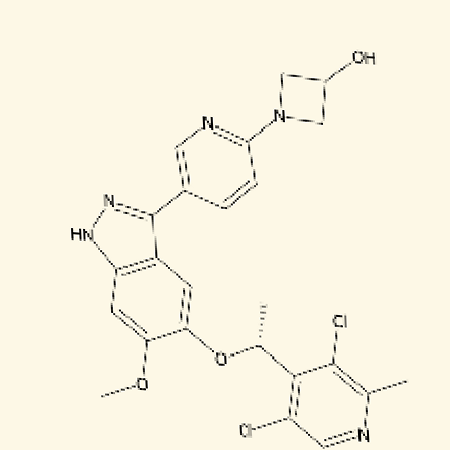 COc1cc2[nH]nc(-c3ccc(N4CC(O)C4)nc3)c2cc1O[C@H](C)c1c(Cl)cnc(C)c1Cl